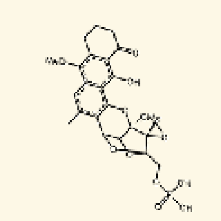 COc1c2c(c(O)c3c4c(c(C)cc13)C1OC3(COP(=O)(O)O)OC1[C@@](OC)(O4)[C@@]31CO1)C(=O)CCC2